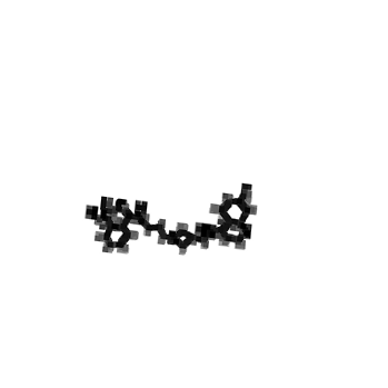 C=C(NCCCN1CC(CNc2ccnc3cc(F)ccc23)C1)C1=C(C)CCC=C1